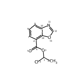 CC(Cl)OC(=O)c1cccc2ncoc12